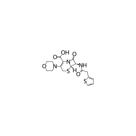 O=C(Cc1cccs1)N[C@@H]1C(=O)N2C(C(=O)O)=C(N3CCOCC3)CS[C@@H]12